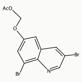 CC(=O)OCOc1cc(Br)c2ncc(Br)cc2c1